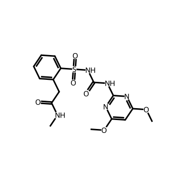 CNC(=O)Cc1ccccc1S(=O)(=O)NC(=O)Nc1nc(OC)cc(OC)n1